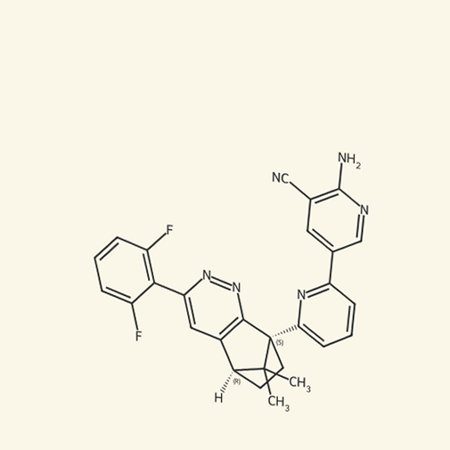 CC1(C)[C@H]2CC[C@]1(c1cccc(-c3cnc(N)c(C#N)c3)n1)c1nnc(-c3c(F)cccc3F)cc12